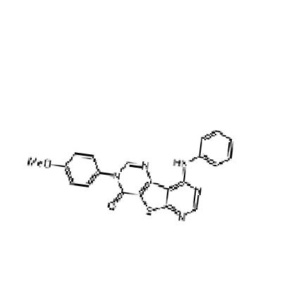 COc1ccc(-n2cnc3c(sc4ncnc(Nc5ccccc5)c43)c2=O)cc1